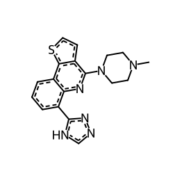 CN1CCN(c2nc3c(-c4nnc[nH]4)cccc3c3sccc23)CC1